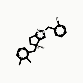 CC(=O)[C@@]1(Cc2cccc(C)c2C)CCc2nn(Cc3ccccc3F)cc21